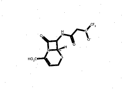 O=C(C[S+]([O-])C(F)(F)F)NC1C(=O)N2C(C(=O)O)=CCS[C@@H]12